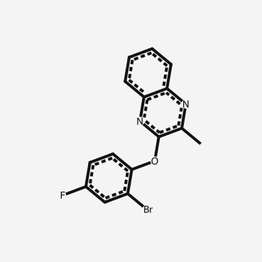 Cc1nc2ccccc2nc1Oc1ccc(F)cc1Br